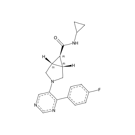 O=C(NC1CC1)[C@H]1[C@@H]2CN(c3cncnc3-c3ccc(F)cc3)C[C@@H]21